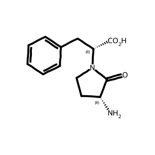 N[C@@H]1CCN([C@H](Cc2ccccc2)C(=O)O)C1=O